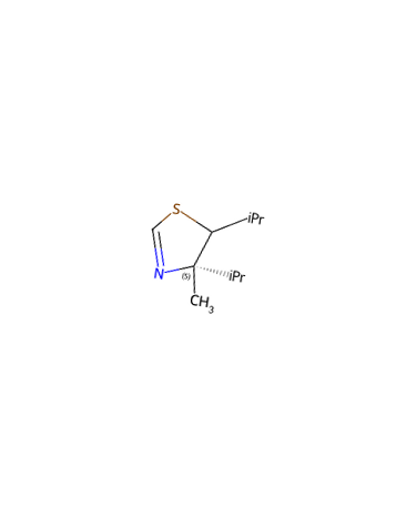 CC(C)C1SC=N[C@@]1(C)C(C)C